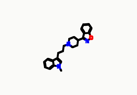 Cn1cc(CCCN2CCC(c3noc4ccccc34)CC2)c2ccccc21